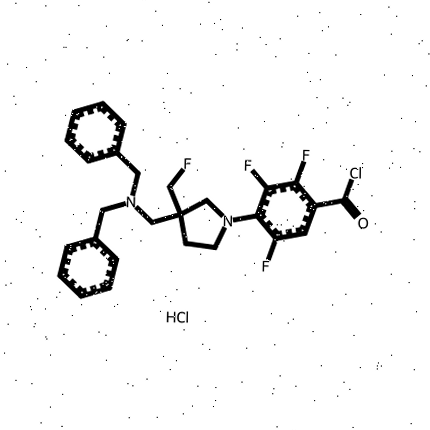 Cl.O=C(Cl)c1cc(F)c(N2CCC(CF)(CN(Cc3ccccc3)Cc3ccccc3)C2)c(F)c1F